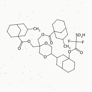 CC1CC2CCCC(C(=O)OCC3(COC(=O)C45CCCC(CC(C)C4)C5)COC(C4CC5CCCC(OC(=O)C(F)(F)S(=O)(=O)O)(C5)C4)CO3)(C1)C2